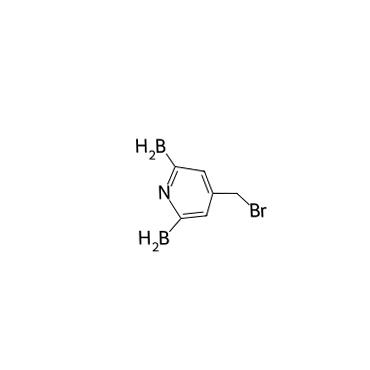 Bc1cc(CBr)cc(B)n1